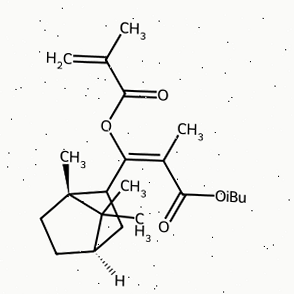 C=C(C)C(=O)OC(=C(C)C(=O)OCC(C)C)C1C[C@H]2CC[C@@]1(C)C2(C)C